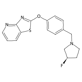 F[C@@H]1CCN(Cc2ccc(Oc3nc4ncccc4s3)cc2)C1